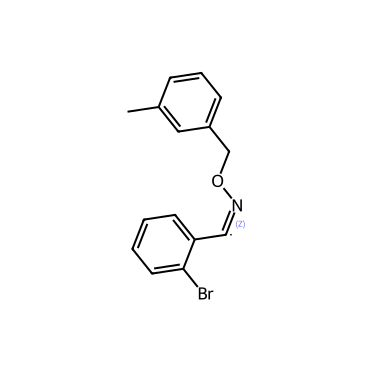 Cc1cccc(CO/N=[C]\c2ccccc2Br)c1